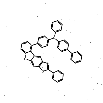 c1ccc(-c2ccc(N(c3ccccc3)c3ccc(-c4cccc5oc6cc7oc(-c8ccccc8)nc7cc6c45)cc3)cc2)cc1